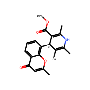 CCCOC(=O)C1=C(C)NC(C)=C(C(C)=O)[C@H]1c1cccc2c(=O)cc(C)oc12